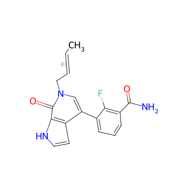 C/C=C/Cn1cc(-c2cccc(C(N)=O)c2F)c2cc[nH]c2c1=O